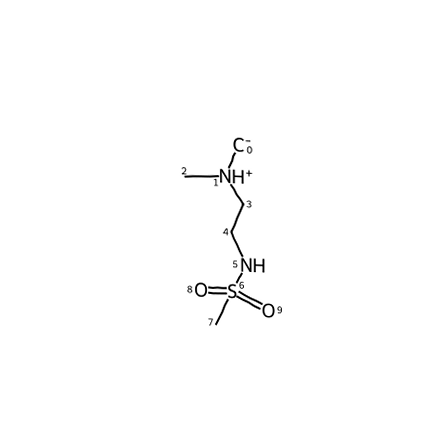 [CH2-][NH+](C)CCNS(C)(=O)=O